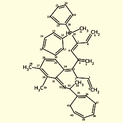 C=CC/C(C(=C)/C=C(\C=C)[PH](C)(c1ccccc1)c1ccccc1)=C1/C=CC(C)=C(C)/C1=N/C(C)C1=CC=CC=CC1